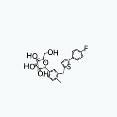 Cc1ccc(C2OC(CO)[C@@H](O)[C@H](O)[C@H]2O)cc1Cc1ccc(-c2ccc(F)cc2)s1